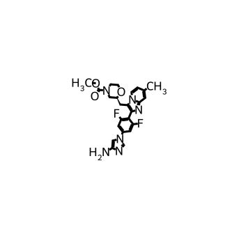 COC(=O)N1CCO[C@@H](Cc2c(-c3c(F)cc(-n4cnc(N)c4)cc3F)nc3cc(C)ccn23)C1